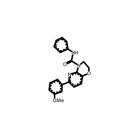 COc1cccc(-c2ccc3c(n2)N(C(=O)Nc2ccccc2)CCO3)c1